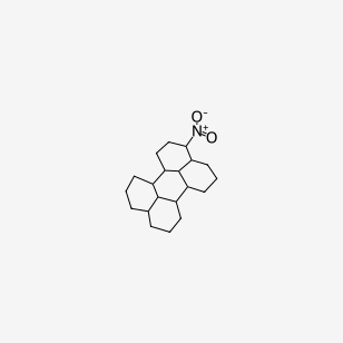 O=[N+]([O-])C1CCC2C3CCCC4CCCC(C5CCCC1C52)C43